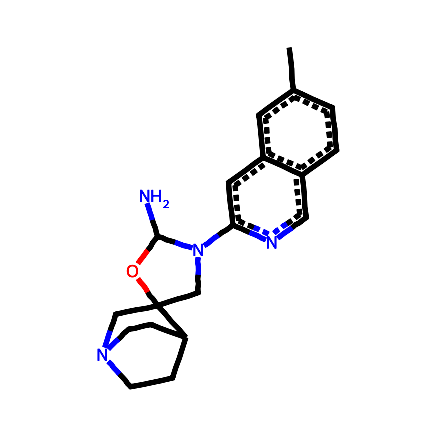 Cc1ccc2cnc(N3CC4(CN5CCC4CC5)OC3N)cc2c1